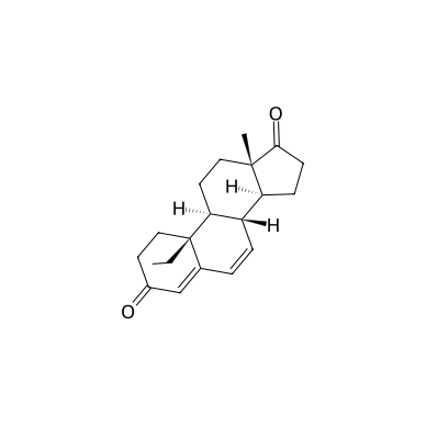 CC[C@]12CCC(=O)C=C1C=C[C@@H]1[C@@H]2CC[C@]2(C)C(=O)CC[C@@H]12